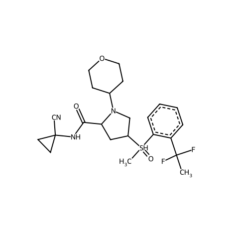 CC(F)(F)c1ccccc1[SH](C)(=O)C1CC(C(=O)NC2(C#N)CC2)N(C2CCOCC2)C1